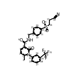 Cc1ccc(C(=O)NCc2ccc(S(=O)(=O)CCC#N)cc2)c(=O)n1-c1cccc(C(F)(F)F)c1